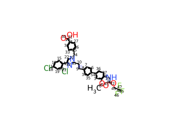 COc1cc(-c2ccc(/C=C/c3nc(-c4ccc(Cl)cc4Cl)cn3Cc3ccc(C(=O)O)cc3)cc2)ccc1NC(=O)OCC(F)(F)F